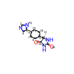 Cn1cncc1-c1ccc([C@@]2(C)NC(=O)NC2=O)cc1